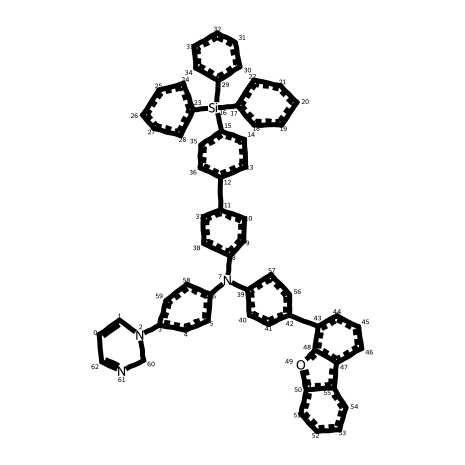 C1=CN(c2ccc(N(c3ccc(-c4ccc([Si](c5ccccc5)(c5ccccc5)c5ccccc5)cc4)cc3)c3ccc(-c4cccc5c4oc4ccccc45)cc3)cc2)CN=C1